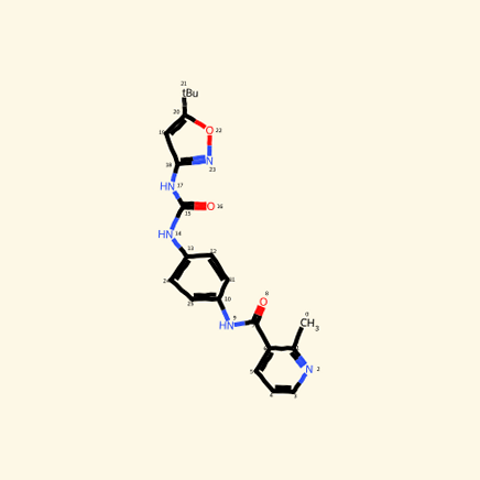 Cc1ncccc1C(=O)Nc1ccc(NC(=O)Nc2cc(C(C)(C)C)on2)cc1